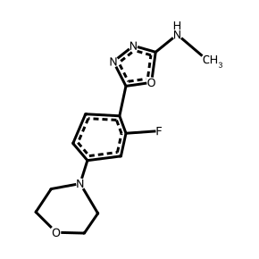 CNc1nnc(-c2ccc(N3CCOCC3)cc2F)o1